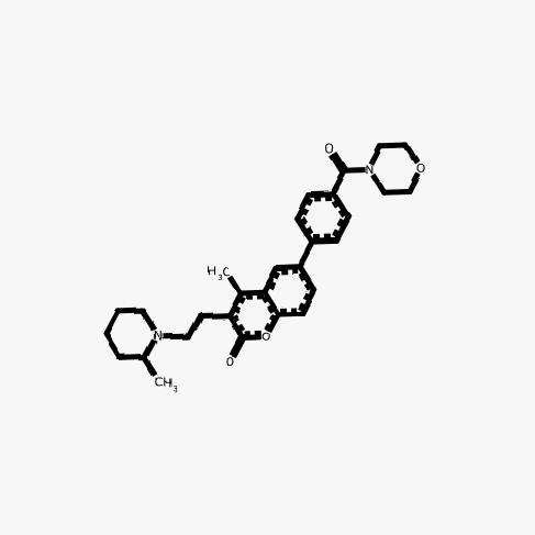 Cc1c(CCN2CCCCC2C)c(=O)oc2ccc(-c3ccc(C(=O)N4CCOCC4)cc3)cc12